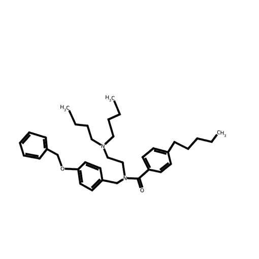 CCCCCc1ccc(C(=O)N(CCN(CCCC)CCCC)Cc2ccc(OCc3ccccc3)cc2)cc1